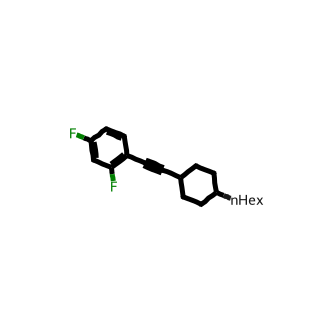 CCCCCCC1CCC(C#Cc2ccc(F)cc2F)CC1